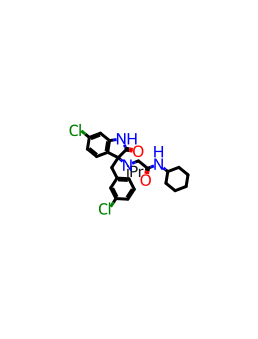 CC(C)N(CC(=O)NC1CCCCC1)C1(Cc2cccc(Cl)c2)C(=O)Nc2cc(Cl)ccc21